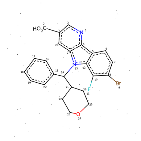 O=C(O)c1cnc2c3ccc(Br)c(F)c3n(C(c3ccccc3)C3CCOCC3)c2c1